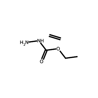 C=C.CCOC(=O)NN